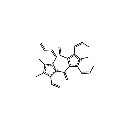 C=C/C=C\c1c(C)c(C)c(C=C)n1C(=C)c1c(C=C)c(/C=C\C)n(C)c1/C=C\C